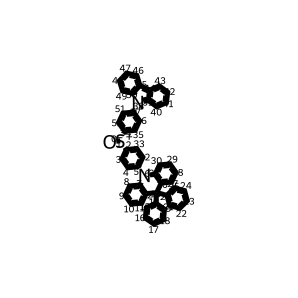 [O-][S+](c1ccc(N2c3ccccc3C(c3ccccc3)(c3ccccc3)c3ccccc32)cc1)c1ccc(-n2c3ccccc3c3ccccc32)cc1